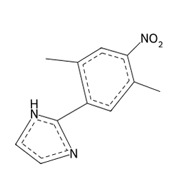 Cc1cc([N+](=O)[O-])c(C)cc1-c1ncc[nH]1